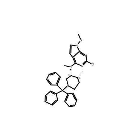 C[C@@H]1CCN(C(c2ccccc2)(c2ccccc2)c2ccccc2)C[C@@H]1N(C)c1nc(Cl)nc2c1ccn2SI